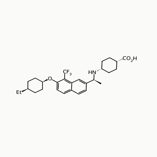 CC[C@H]1CC[C@@H](Oc2ccc3ccc([C@H](C)N[C@H]4CC[C@@H](C(=O)O)CC4)cc3c2C(F)(F)F)CC1